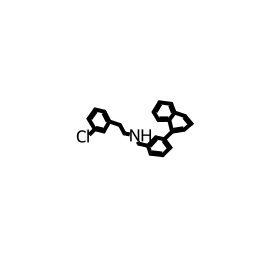 Clc1cccc(CCNCc2cccc(-c3cccc4ccccc34)c2)c1